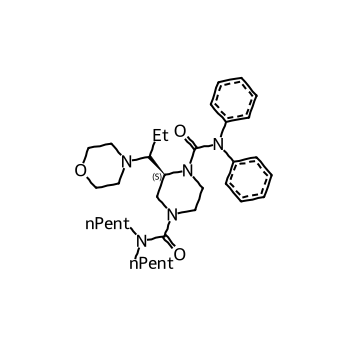 [CH2]CC([C@@H]1CN(C(=O)N(CCCCC)CCCCC)CCN1C(=O)N(c1ccccc1)c1ccccc1)N1CCOCC1